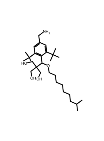 CC(C)CCCCCCCOC(c1c(C(C)(C)C)cc(CN)cc1C(C)(C)C)C(CO)(CO)CO